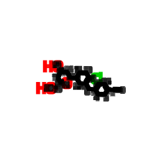 C#Cc1ccc(CC2=C(Cl)C=CC(C3C[C@@H](O)C[C@@H](CO)O3)C2)cc1